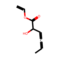 C=COC(=O)C(O)C=C=CC